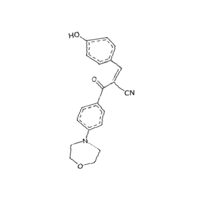 N#CC(=Cc1ccc(O)cc1)C(=O)c1ccc(N2CCOCC2)cc1